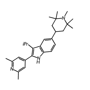 Cc1cc(-c2[nH]c3ccc(C4CC(C)(C)N(C)C(C)(C)C4)cc3c2C(C)C)cc(C)n1